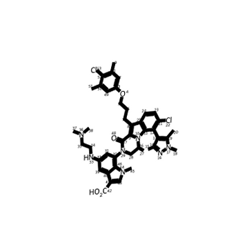 Cc1cc(OCCCc2c3n(c4c(-c5c(C)nn(C)c5C)c(Cl)ccc24)C(C)CN(c2cc(NCCN(C)C)cc4c(C(=O)O)cn(C)c24)C3=O)cc(C)c1Cl